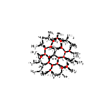 PPP(P)P(B(B(B(B(P(P(P)P)P(P)P)P(P(P)P)P(P)P)B(P(P(P)P)P(P)P)P(P(P)P)P(P)P)B(B(P(P(P)P)P(P)P)P(P(P)P)P(P)P)B(P(P(P)P)P(P)P)P(P(P)P)P(P)P)P(P(P(P)P)P(P)P)P(P(P)P)P(P)P)P(P)P